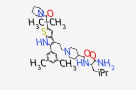 Cc1cc(C)cc(-c2[nH]c3sc(C(C)(C)C(=O)N4C5CCC4CC5)cc3c2CCN2CCC(C(=O)N[C@H](CC(C)C)C(N)=O)CC2)c1